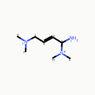 CN(C)CC=CC(N)N(C)C